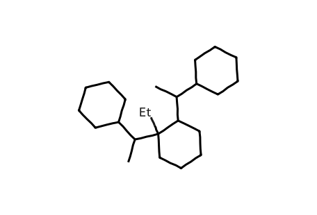 CCC1(C(C)C2CCCCC2)CCCCC1C(C)C1CCCCC1